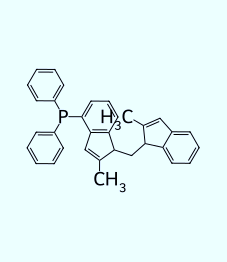 CC1=Cc2ccccc2C1CC1C(C)=Cc2c1cccc2P(c1ccccc1)c1ccccc1